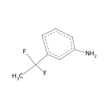 CC(F)(F)c1cccc(N)c1